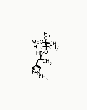 COC(C)(C)C(C)(C)OBC(C)Cc1cnn(C)c1